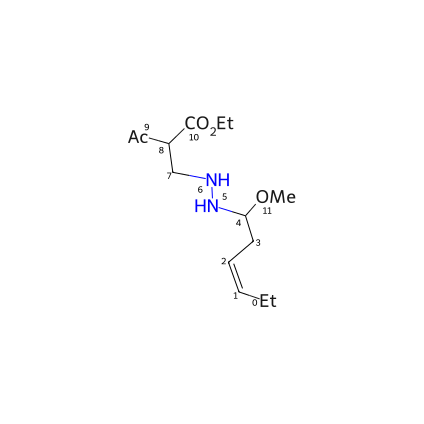 CC/C=C\CC(NNCC(C(C)=O)C(=O)OCC)OC